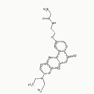 BCC(=O)NCCOc1ccc2c(=O)cc3oc4cc(N(CC)CC)ccc4nc-3c2c1